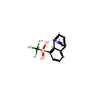 O=S(=O)(c1[c]ccc2c3ccc(nc3)c12)C(F)(F)F